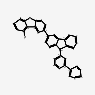 Brc1cccc2oc3ccc(-c4ccc5c(c4)-c4ccccc4C5c4cccc(-c5ccccc5)c4)cc3c12